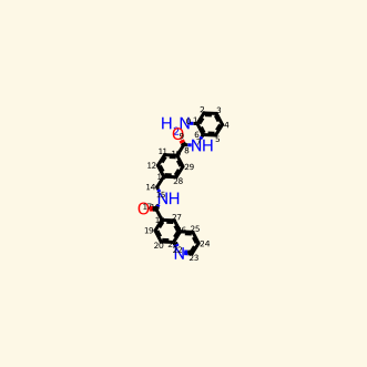 Nc1ccccc1NC(=O)c1ccc(CNC(=O)c2ccc3ncccc3c2)cc1